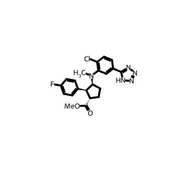 COC(=O)[C@H]1CC[C@H](N(C)c2cc(-c3nnn[nH]3)ccc2Cl)[C@@H]1c1ccc(F)cc1